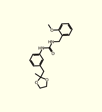 COc1ccccc1CNC(=O)Nc1cccc(CC2(C)OCCO2)c1